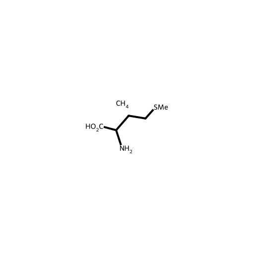 C.CSCCC(N)C(=O)O